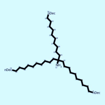 CCCCCCCCCCCCCCCCCCCCC(N)(CCCCCCCCCCCCCCCCCCCC)CCCCCCCCCCCCCCCCCCCC